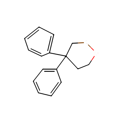 c1ccc(C2(c3ccccc3)CCOSC2)cc1